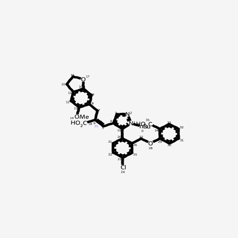 CCCCn1ncc(/C=C(\Cc2cc3c(cc2OC)CCO3)C(=O)O)c1-c1ccc(Cl)cc1COc1ccccc1C(=O)O